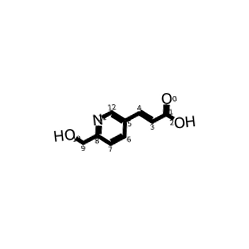 O=C(O)C=Cc1ccc(CO)nc1